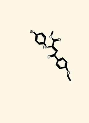 CCOc1ccc(C(=O)C=C(Nc2ccc(Br)cc2)C(=O)OC)cc1